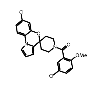 COc1ccc(Cl)cc1C(=O)N1CCC2(CC1)Oc1cc(Cl)ccc1-n1cccc12